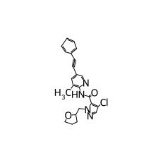 Cc1cc(C#Cc2ccccc2)cnc1NC(=O)c1c(Cl)cnn1CC1CCCO1